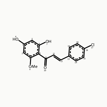 COc1cc(O)cc(O)c1C(=O)/C=C/c1ccc(Cl)cc1